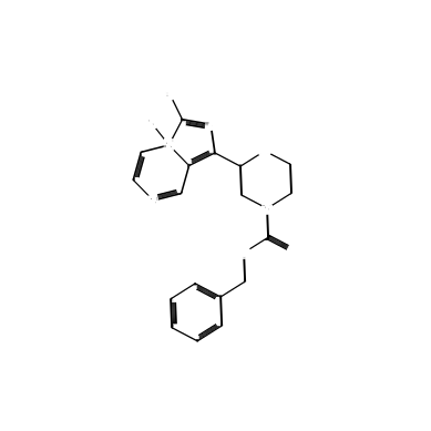 N[N+]12C=CN=CC1=C(C1CN(C(=O)OCc3ccccc3)CCO1)N=C2Br